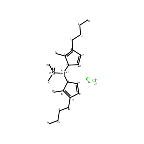 CCCCC1=C(C)[CH]([Hf+2]([CH]2C=CC(CCCC)=C2C)[SiH](C)C)C=C1.[Cl-].[Cl-]